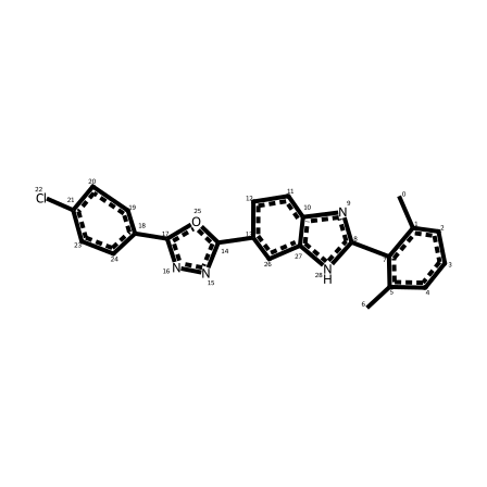 Cc1cccc(C)c1-c1nc2ccc(-c3nnc(-c4ccc(Cl)cc4)o3)cc2[nH]1